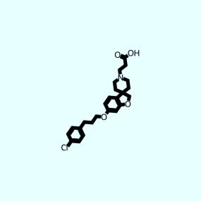 O=C(O)CCN1CCC2(CC1)COc1cc(OCCCc3ccc(Cl)cc3)ccc12